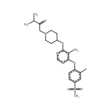 Cc1c(Oc2ccc(S(C)(=O)=O)cc2F)ncnc1OC1CCN(CC(=O)C(C)C)CC1